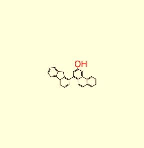 Oc1cc(-c2cccc3c2Cc2ccccc2-3)c2ccc3ccccc3c2c1